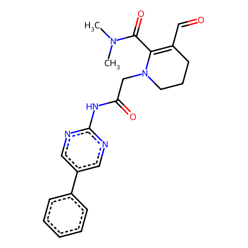 CN(C)C(=O)C1=C(C=O)CCCN1CC(=O)Nc1ncc(-c2ccccc2)cn1